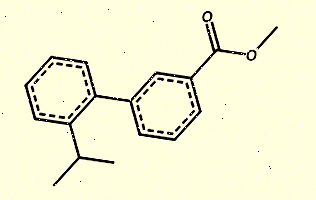 COC(=O)c1cccc(-c2ccccc2C(C)C)c1